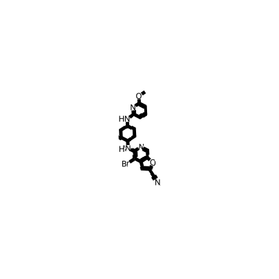 COc1cccc(NC2CCC(Nc3ncc4oc(C#N)cc4c3Br)CC2)n1